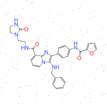 O=C(Nc1ccc(-c2nc3c(C(=O)NCCN4CCNC4=O)cccn3c2NCc2ccccc2)cc1)c1ccco1